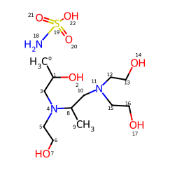 CC(O)CN(CCO)C(C)CN(CCO)CCO.NS(=O)(=O)O